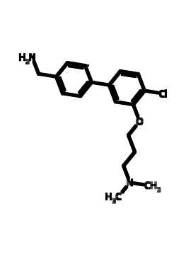 CN(C)CCCOc1cc(-c2[c]cc(CN)cc2)ccc1Cl